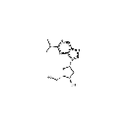 CN(C)c1ncc2ncn([C@@H]3C[C@@H](O)[C@H](CO)O3)c2n1